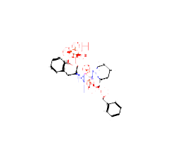 O=C(OCc1ccccc1)[C@@H]1CCCCN1S(=O)(=O)NC(COS(=O)(=O)O)Cc1ccccc1